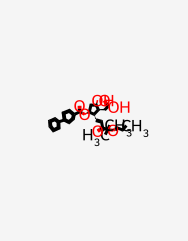 CCCOC(C)(C)C(=O)C=C[C@H]1[C@H](CC(=O)O)[C@H](O)C[C@@H]1OC(=O)c1ccc(-c2ccccc2)cc1